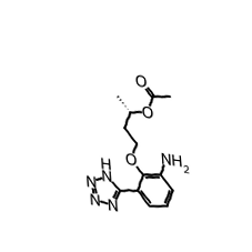 CC(=O)O[C@@H](C)CCOc1c(N)cccc1-c1nnn[nH]1